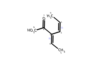 C/C=C\C(=C/C)C(=O)C(=O)O